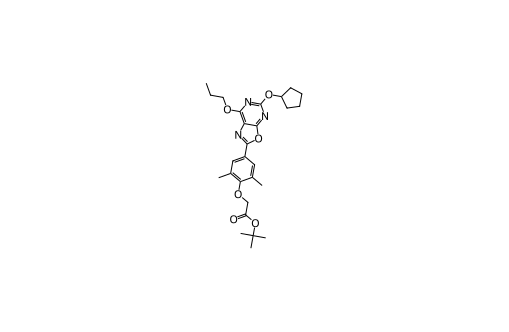 CCCOc1nc(OC2CCCC2)nc2oc(-c3cc(C)c(OCC(=O)OC(C)(C)C)c(C)c3)nc12